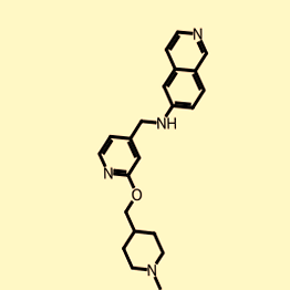 CN1CCC(COc2cc(CNc3ccc4cnccc4c3)ccn2)CC1